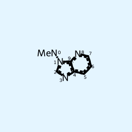 CNn1cnc2cccnc21